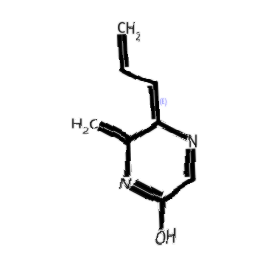 C=C/C=c1/ncc(O)nc1=C